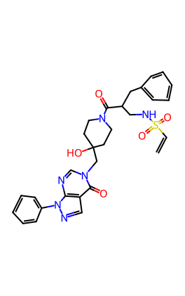 C=CS(=O)(=O)NCC(Cc1ccccc1)C(=O)N1CCC(O)(Cn2cnc3c(cnn3-c3ccccc3)c2=O)CC1